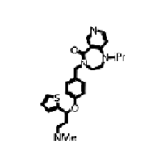 CNCCC(Oc1ccc(CN2CCN(C(C)C)c3ccncc3C2=O)cc1)c1cccs1